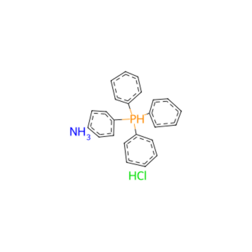 Cl.N.c1ccc([PH](c2ccccc2)(c2ccccc2)c2ccccc2)cc1